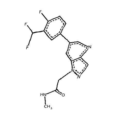 CNC(=O)Cn1ncc2ncc(-c3ccc(F)c(C(F)F)c3)cc21